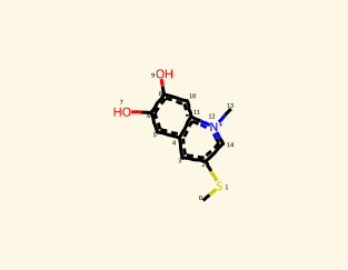 CSc1cc2cc(O)c(O)cc2[n+](C)c1